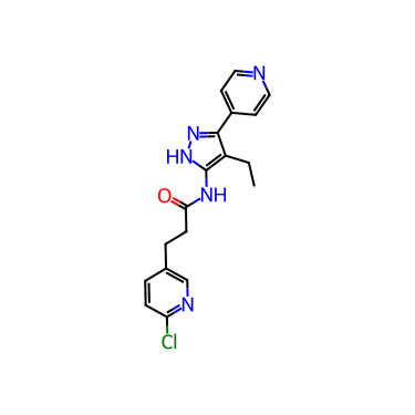 CCc1c(-c2ccncc2)n[nH]c1NC(=O)CCc1ccc(Cl)nc1